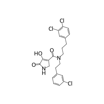 O=C1NCC(C(=O)N(CCCc2ccc(Cl)c(Cl)c2)CCc2cccc(Cl)c2)=C1O